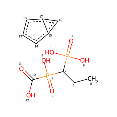 CCC(P(=O)(O)O)P(=O)(O)C(=O)O.c1cc2cc-2c1